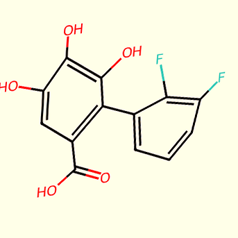 O=C(O)c1cc(O)c(O)c(O)c1-c1cccc(F)c1F